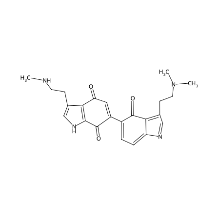 CNCCc1c[nH]c2c1C(=O)C=C(C1=CC=C3N=CC(CCN(C)C)=C3C1=O)C2=O